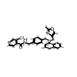 Cc1nc(CN(Cc2ccc(CNC(=O)c3ccncc3Cl)cc2)C2CCCc3cccnc32)co1